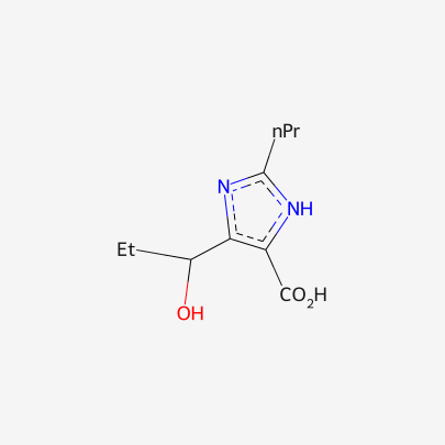 CCCc1nc(C(O)CC)c(C(=O)O)[nH]1